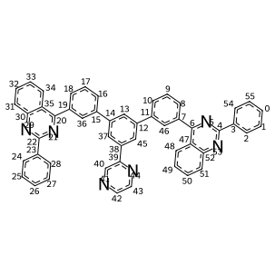 c1ccc(-c2nc(-c3cccc(-c4cc(-c5cccc(-c6nc(-c7ccccc7)nc7ccccc67)c5)cc(-c5cnccn5)c4)c3)c3ccccc3n2)cc1